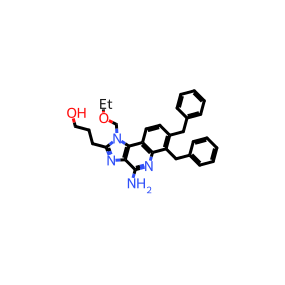 CCOCn1c(CCCO)nc2c(N)nc3c(Cc4ccccc4)c(Cc4ccccc4)ccc3c21